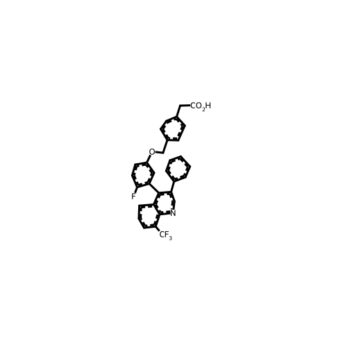 O=C(O)Cc1ccc(COc2ccc(F)c(-c3c(-c4ccccc4)cnc4c(C(F)(F)F)cccc34)c2)cc1